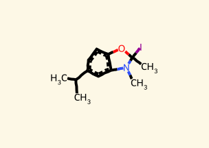 CC(C)c1ccc2c(c1)N(C)C(C)(I)O2